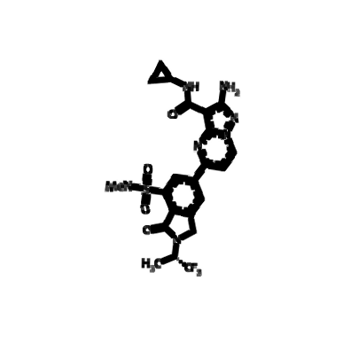 CNS(=O)(=O)c1cc(-c2ccn3nc(N)c(C(=O)NC4CC4)c3n2)cc2c1C(=O)N([C@@H](C)C(F)(F)F)C2